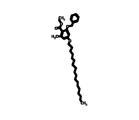 CCCCCCCCCCCCCCCCCCOc1cc(C)c(C(=O)OCC)c(OCc2ccccc2)c1